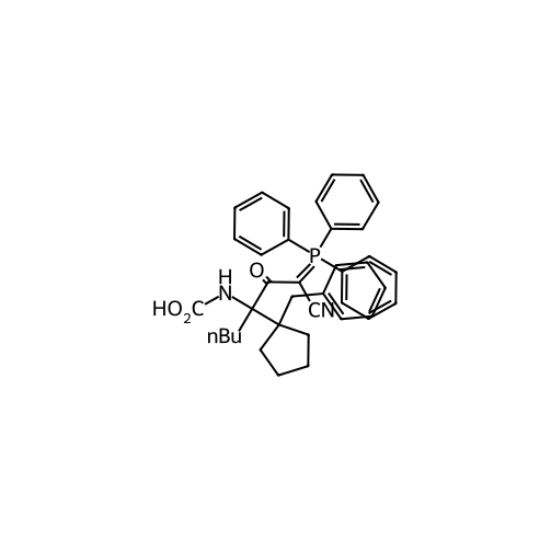 CCCCC(NC(=O)O)(C(=O)C(C#N)=P(c1ccccc1)(c1ccccc1)c1ccccc1)C1(Cc2ccccc2)CCCC1